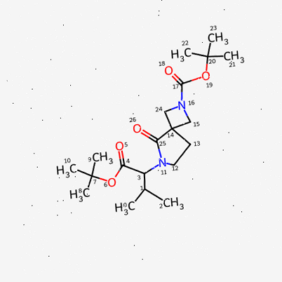 CC(C)C(C(=O)OC(C)(C)C)N1CCC2(CN(C(=O)OC(C)(C)C)C2)C1=O